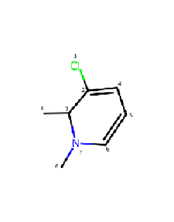 CC1C(Cl)=CC=CN1C